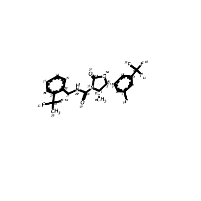 C[C@H]1[C@@H](c2cc(F)cc(C(F)(F)F)c2)OC(=O)N1C(=O)NCc1ccccc1C(C)(F)F